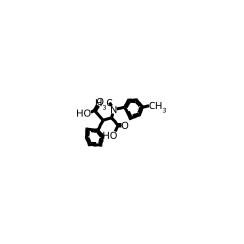 Cc1ccc(N(C)C(C(=O)O)C(C(=O)O)c2ccccc2)cc1